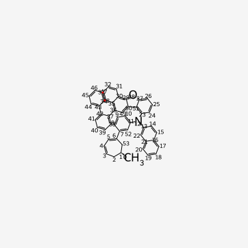 C[C@H]1CC=CC=C(c2cccc(N(c3ccc4ccccc4c3)c3cccc4oc5c6ccccc6c(-c6ccccc6-c6ccccc6)cc5c34)c2)C1